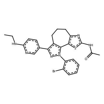 CCNc1ccc(-c2nn(-c3ccccc3Br)c3c2CCCc2nc(NC(C)=O)sc2-3)cn1